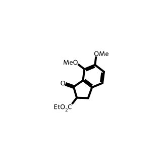 CCOC(=O)C1Cc2ccc(OC)c(OC)c2C1=O